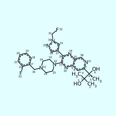 CC(C)(O)[C@@](C)(O)c1cc2nc(N3CCN(Cc4ccccc4F)CC3)c(-c3cnn(CF)c3)nc2cn1